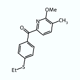 CCSc1ccc(C(=O)c2ccc(C)c(OC)n2)cc1